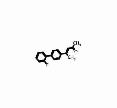 CC(=O)C=C(C)c1ccc(-c2ccccc2F)cc1